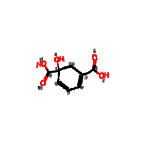 O=C(O)C1=CC=CC(O)(C(=O)O)C1